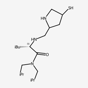 CCC(C)[C@H](NCC1CC(S)CN1)C(=O)N(CC(C)C)CC(C)C